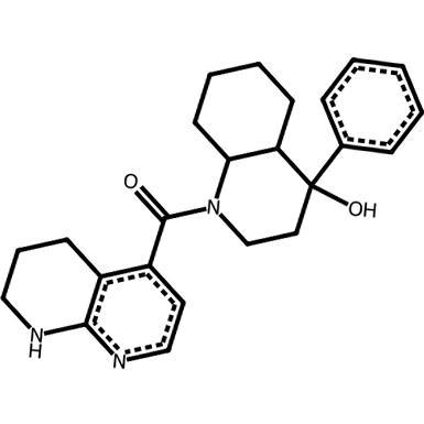 O=C(c1ccnc2c1CCCN2)N1CCC(O)(c2ccccc2)C2CCCCC21